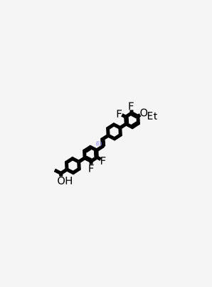 CCOc1ccc(C2CCC(/C=C/c3ccc(C4CCC(C(C)O)CC4)c(F)c3F)CC2)c(F)c1F